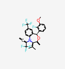 C=C=C(N1C(=C(C)C)C(=C)O[C@H](c2cccc(OC)c2F)c2cc(C(F)(F)F)ccc21)C(F)(F)F